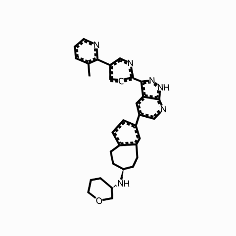 Cc1cccnc1-c1ccc(-c2n[nH]c3ncc(-c4ccc5c(c4)CC[C@@H](N[C@H]4CCCOC4)CC5)cc23)nc1